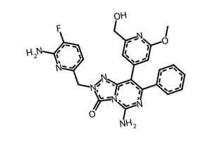 COc1cc(-c2c(-c3ccccc3)nc(N)n3c(=O)n(Cc4ccc(F)c(N)n4)nc23)cc(CO)n1